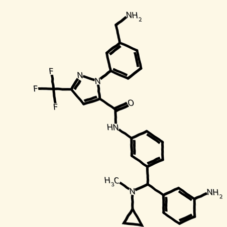 CN(C1CC1)C(c1cccc(N)c1)c1cccc(NC(=O)c2cc(C(F)(F)F)nn2-c2cccc(CN)c2)c1